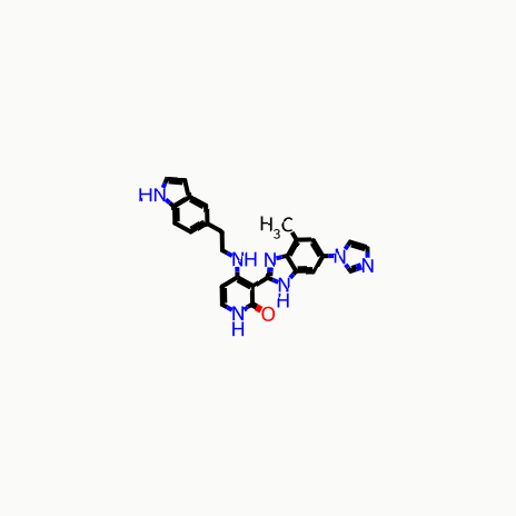 Cc1cc(-n2ccnc2)cc2[nH]c(-c3c(NCCc4ccc5[nH]ccc5c4)cc[nH]c3=O)nc12